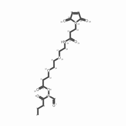 CCCC(=O)N(C=O)OC(=O)CCOCCOCCNC(=O)CCN1C(=O)C=CC1=O